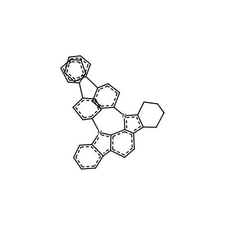 c1ccc(-c2ccc(-n3c4c(c5ccc6c7ccccc7n(-c7ccc(-c8ccccc8)cc7)c6c53)CCCC4)cc2)cc1